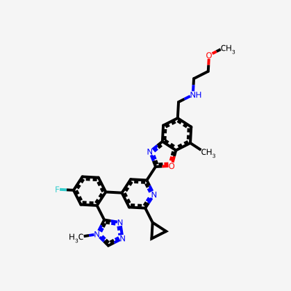 COCCNCc1cc(C)c2oc(-c3cc(-c4ccc(F)cc4-c4nncn4C)cc(C4CC4)n3)nc2c1